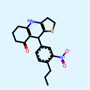 CCCc1ccc(C2C3=C(CCS3)NC3=C2C(=O)CCC3)cc1[N+](=O)[O-]